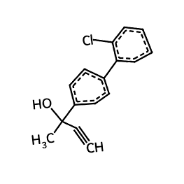 C#CC(C)(O)c1ccc(-c2ccccc2Cl)cc1